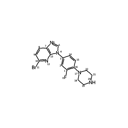 Fc1cc(-n2cnc3ccc(Br)nc32)ccc1N1CCNCC1